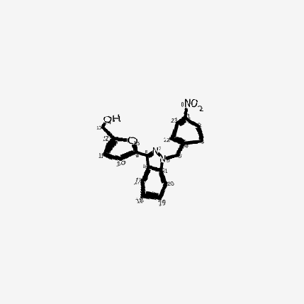 O=[N+]([O-])c1ccc(Cn2nc(-c3ccc(CO)o3)c3ccccc32)cc1